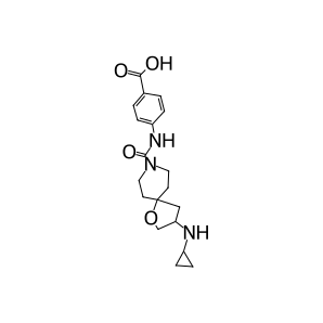 O=C(O)c1ccc(NC(=O)N2CCC3(CC2)CC(NC2CC2)CO3)cc1